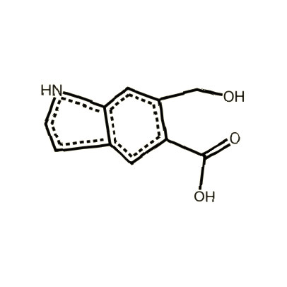 O=C(O)c1cc2cc[nH]c2cc1CO